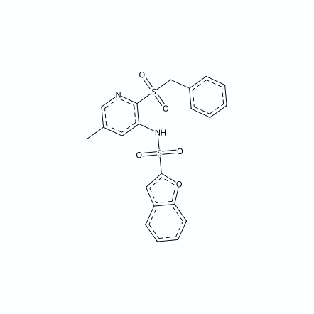 Cc1cnc(S(=O)(=O)Cc2ccccc2)c(NS(=O)(=O)c2cc3ccccc3o2)c1